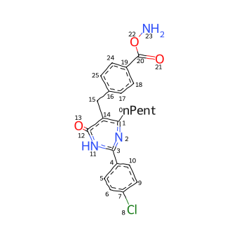 CCCCCc1nc(-c2ccc(Cl)cc2)[nH]c(=O)c1Cc1ccc(C(=O)ON)cc1